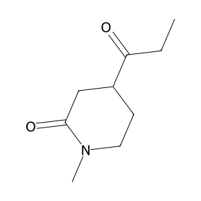 CCC(=O)C1CCN(C)C(=O)C1